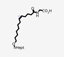 CCCCCCCOCCCCCCC/C=C\CCCC(=O)NCC(=O)O